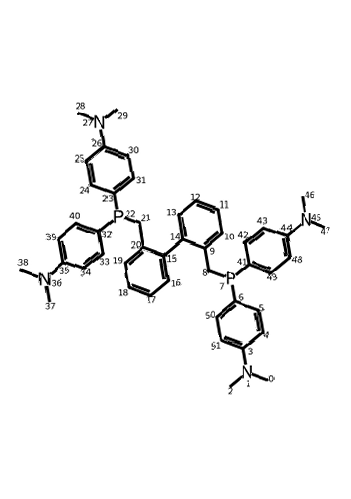 CN(C)c1ccc(P(Cc2ccccc2-c2ccccc2CP(c2ccc(N(C)C)cc2)c2ccc(N(C)C)cc2)c2ccc(N(C)C)cc2)cc1